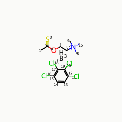 B.CC(=S)OCC[N+](C)(C)C.Clc1ccc(Cl)c(Cl)c1Cl